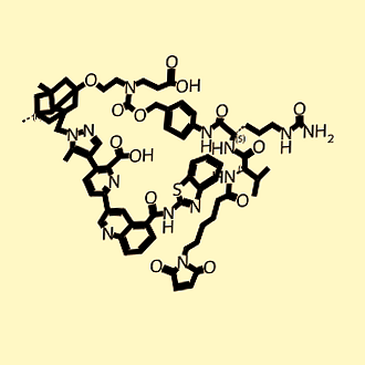 Cc1c(-c2ccc(-c3cnc4cccc(C(=O)Nc5nc6ccccc6s5)c4c3)nc2C(=O)O)cnn1CC12CC3(C)CC(OCCN(CCC(=O)O)C(=O)OCc4ccc(NC(=O)[C@H](CCCNC(N)=O)NC(=O)[C@@H](NC(=O)CCCCCN5C(=O)C=CC5=O)C(C)C)cc4)(C1)C[C@](C)(C3)C2